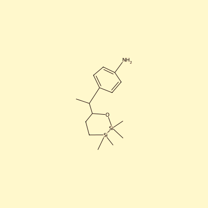 CC(c1ccc(N)cc1)C1CC[Si](C)(C)[Si](C)(C)O1